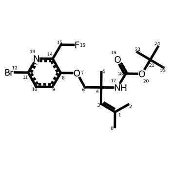 CC(C)=CC(C)(COc1ccc(Br)nc1CF)NC(=O)OC(C)(C)C